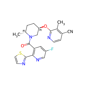 Cc1c(C#N)ccnc1O[C@@H]1CC[C@@H](C)N(C(=O)c2cc(F)cnc2-c2nccs2)C1